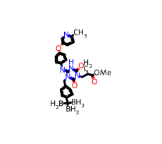 BC(B)(B)c1ccc(Cn2c(=O)n(C[C@H](C)C(=O)OC)c(=O)[nH]/c2=N\c2ccc(Oc3ccc(C)nc3)cc2)cc1